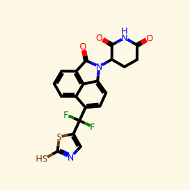 O=C1CCC(N2C(=O)c3cccc4c(C(F)(F)c5cnc(S)s5)ccc2c34)C(=O)N1